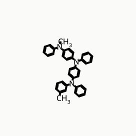 Cc1cccc(N(c2ccccc2)c2ccc(N(c3ccccc3)c3ccc(N(C)c4ccccc4)cc3)cc2)c1